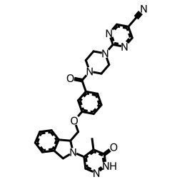 Cc1c(N2Cc3ccccc3C2COc2cccc(C(=O)N3CCN(c4ncc(C#N)cn4)CC3)c2)cn[nH]c1=O